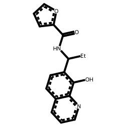 CCC(NC(=O)c1ccco1)c1ccc2cccnc2c1O